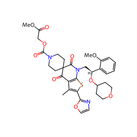 COC(=O)COC(=O)N1CCC2(CC1)C(=O)c1c(sc(-c3ncco3)c1C)N(C[C@H](OC1CCOCC1)c1ccccc1OC)C2=O